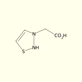 O=C(O)CN1C=CSN1